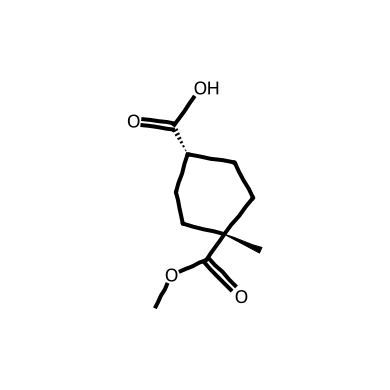 COC(=O)[C@]1(C)CC[C@H](C(=O)O)CC1